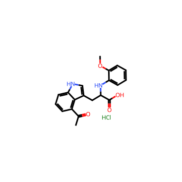 COc1ccccc1NC(Cc1c[nH]c2cccc(C(C)=O)c12)C(=O)O.Cl